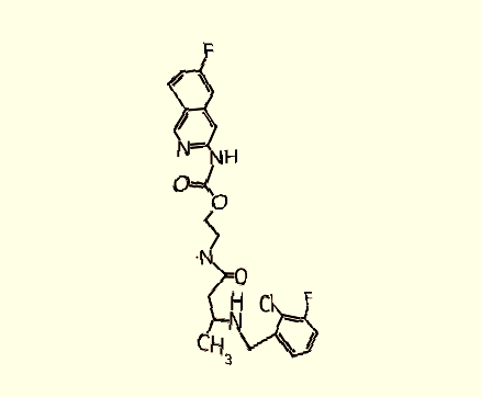 CC(CC(=O)[N]CCOC(=O)Nc1cc2cc(F)ccc2cn1)NCc1cccc(F)c1Cl